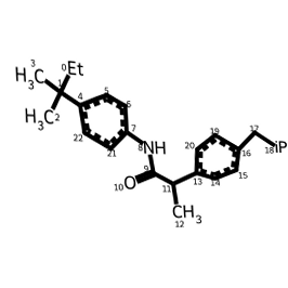 CCC(C)(C)c1ccc(NC(=O)C(C)c2ccc(CC(C)C)cc2)cc1